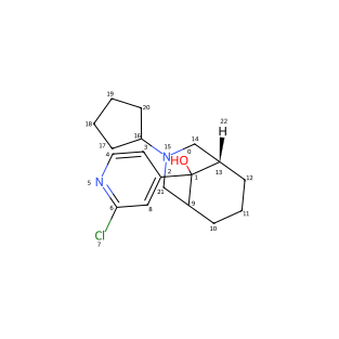 OC1(c2ccnc(Cl)c2)C2CCC[C@H]1CN(C1CCCC1)C2